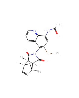 CSc1cc(NC(C)=O)c2ncccc2c1N1C(=O)[C@@H]2[C@H](C1=O)[C@@H]1C=C[C@H]2C1